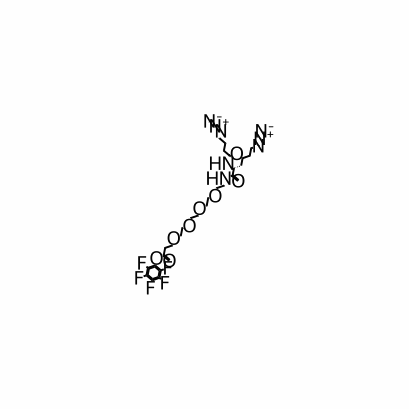 [N-]=[N+]=NCCCC[C@@H](NC(=O)CCCN=[N+]=[N-])C(=O)NCCOCCOCCOCCOCCC(=O)Oc1c(F)c(F)c(F)c(F)c1F